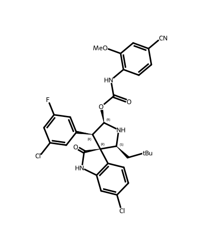 COc1cc(C#N)ccc1NC(=O)O[C@H]1N[C@@H](CC(C)(C)C)[C@@]2(C(=O)Nc3cc(Cl)ccc32)[C@H]1c1cc(F)cc(Cl)c1